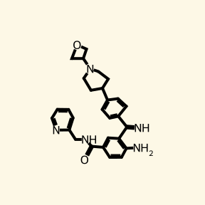 N=C(c1ccc(C2CCN(C3COC3)CC2)cc1)c1cc(C(=O)NCc2ccccn2)ccc1N